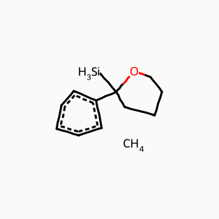 C.[SiH3]C1(c2ccccc2)CCCCO1